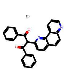 O=C(c1ccccc1)C(C(=O)c1ccccc1)c1ccc2ccc3ncccc3c2n1.[Eu]